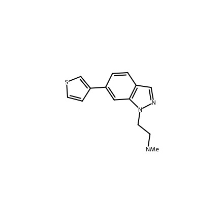 CNCCn1ncc2ccc(-c3ccsc3)cc21